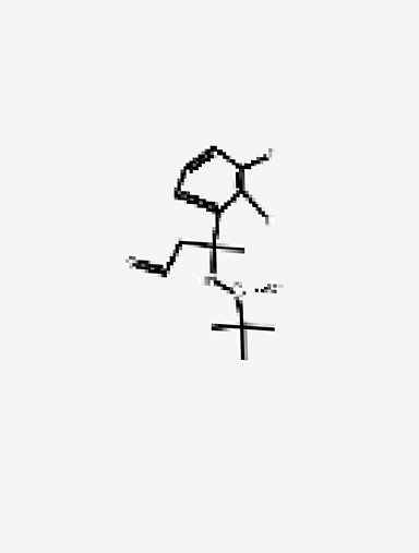 CC(CC=O)(N[S@+]([O-])C(C)(C)C)c1cccc(F)c1F